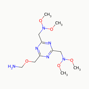 CON(Cc1nc(COCN)nc(CN(OC)OC)n1)OC